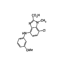 COc1cccc(Nc2ccc(Cl)c3c2nc(C(=O)O)n3C)c1